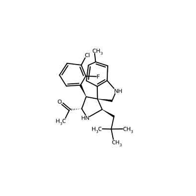 CC(=O)[C@H]1N[C@H](CC(C)(C)C)[C@]2(CNc3cc(C)ccc32)[C@@H]1c1cccc(Cl)c1F